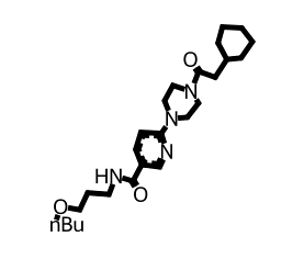 CCCCOCCCNC(=O)c1ccc(N2CCN(C(=O)CC3CCCCC3)CC2)nc1